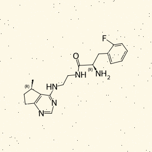 C[C@@H]1CCc2ncnc(NCCNC(=O)[C@H](N)Cc3ccccc3F)c21